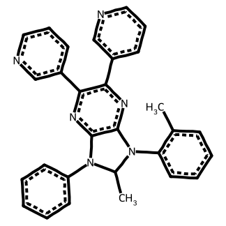 Cc1ccccc1N1c2nc(-c3cccnc3)c(-c3cccnc3)nc2N(c2ccccc2)C1C